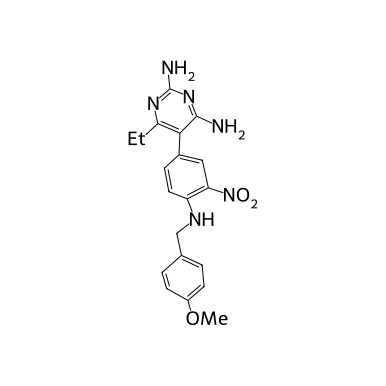 CCc1nc(N)nc(N)c1-c1ccc(NCc2ccc(OC)cc2)c([N+](=O)[O-])c1